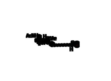 COc1cc(N2CCN(CCCCCCCCCCCCNC(=O)CC34CC5CC(CC(C5)C3)C4)CC2)ccc1Nc1ncc2c(C)cc(=O)n(-c3cccc(NC(C)=O)c3)c2n1